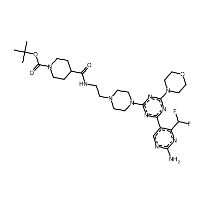 CC(C)(C)OC(=O)N1CCC(C(=O)NCCN2CCN(c3nc(-c4cnc(N)nc4C(F)F)nc(N4CCOCC4)n3)CC2)CC1